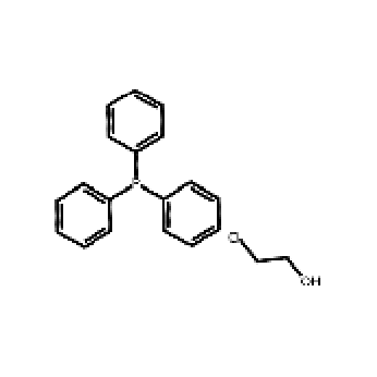 OCCCl.c1ccc(P(c2ccccc2)c2ccccc2)cc1